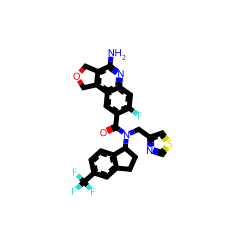 Nc1nc2cc(F)c(C(=O)N(Cc3cscn3)C3CCc4cc(C(F)(F)F)ccc43)cc2c2c1COC2